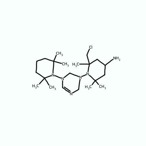 CC1(C)CCCC(C)(C)N1N1C=NCN(N2C(C)(C)CC(N)CC2(C)CCl)C1